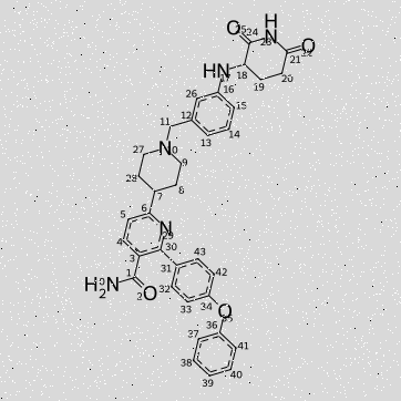 NC(=O)c1ccc(C2CCN(Cc3cccc(NC4CCC(=O)NC4=O)c3)CC2)nc1-c1ccc(Oc2ccccc2)cc1